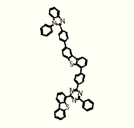 c1ccc(-c2nc(-c3ccc(-c4cccc5c4sc4ccc(-c6ccc(-c7nc8ccccc8n7-c7ccccc7)cc6)cc45)cc3)nc(-c3cccc4c3sc3ccccc34)n2)cc1